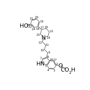 O=C(O)Oc1ccc2[nH]cc(CCCCN3CCCC(c4cccc(O)c4)C3)c2c1